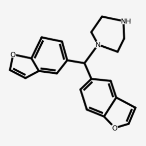 c1cc2cc(C(c3ccc4occc4c3)N3CCNCC3)ccc2o1